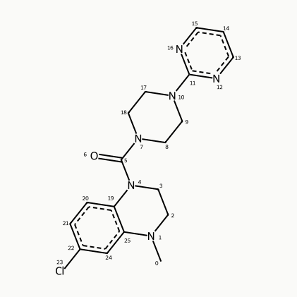 CN1CCN(C(=O)N2CCN(c3ncccn3)CC2)c2ccc(Cl)cc21